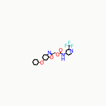 O=C(Nc1ccnc(C(F)(F)F)c1)OCc1nc2ccc(Oc3ccccc3)cc2o1